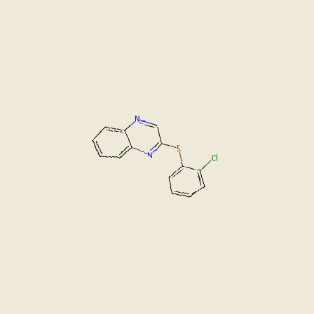 Clc1ccccc1Sc1cnc2ccccc2n1